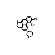 C1COCCO1.CN1CCc2cccc3c2[C@H]1Cc1ccc(O)c(O)c1-3